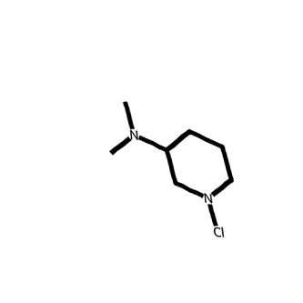 CN(C)C1CCCN(Cl)C1